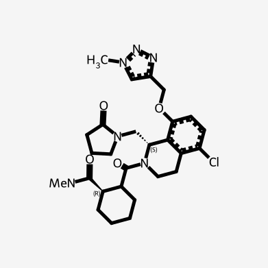 CNC(=O)[C@@H]1CCCCC1C(=O)N1CCc2c(Cl)ccc(OCc3cn(C)nn3)c2[C@H]1CN1CCCC1=O